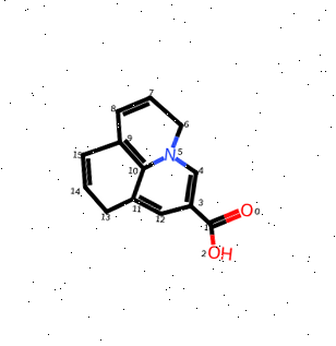 O=C(O)C1=CN2CC=CC3=C2C(=C1)CC=C3